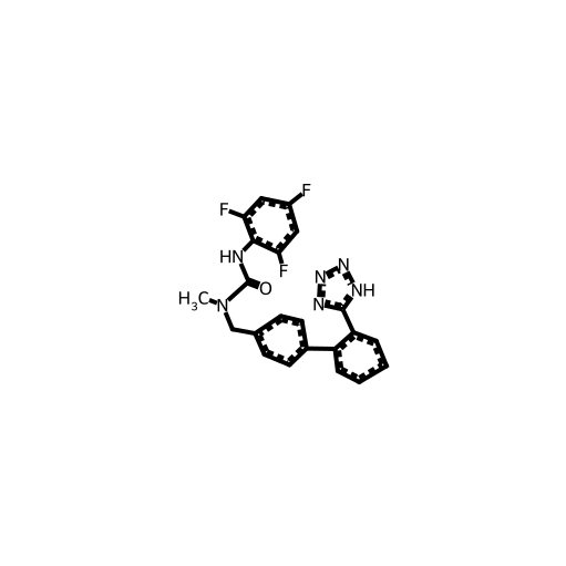 CN(Cc1ccc(-c2ccccc2-c2nnn[nH]2)cc1)C(=O)Nc1c(F)cc(F)cc1F